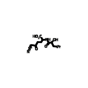 CC(C)CC(O)C(=O)NC(CCC(=O)C=[N+]=[N-])C(=O)O